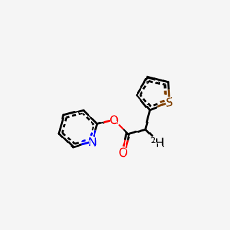 [2H]C(C(=O)Oc1ccccn1)c1cccs1